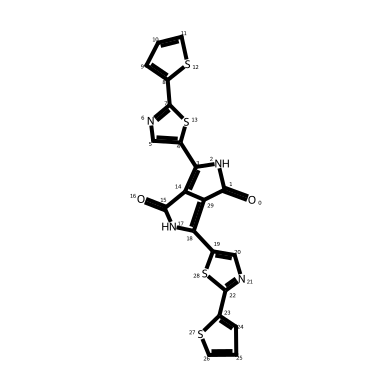 O=C1NC(c2cnc(-c3cccs3)s2)=C2C(=O)NC(c3cnc(-c4cccs4)s3)=C12